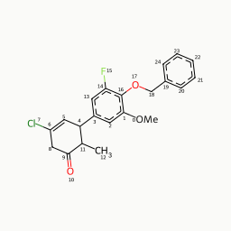 COc1cc(C2C=C(Cl)CC(=O)C2C)cc(F)c1OCc1ccccc1